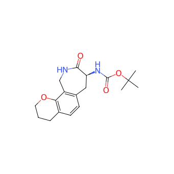 CC(C)(C)OC(=O)N[C@H]1Cc2ccc3c(c2CNC1=O)OCCC3